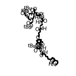 Cc1cc(OCCCC(=O)NCCNC(=O)[C@H](CS(=O)(=O)O)NC(=O)CC[C@H](C(=O)OC(C)(C)C)N2CCN(CC(=O)OC(C)(C)C)CCN(CC(=O)OC(C)(C)C)CC2)cc(C)c1S(=O)(=O)N[C@@H](CNC(=O)CCCCc1ccc2c(n1)NCCC2)C(=O)OC(C)(C)C